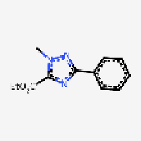 CCOC(=O)c1nc(-c2ccccc2)nn1C